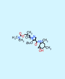 CC(C)COc1c(C(=O)N[C@@H]2C(C)CC(C)CC3(O)CC23)cnn1/C=C/C(C)(C)COC(=O)N(C)C